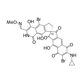 CON=Cc1[nH]c(=O)c2c(O)c3c(c(Br)c2c1O)CC[C@@]31C(=O)c2cc3c(c(O)c2C1=O)C(=O)C(Br)=C(NC1CC1)C3=O